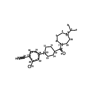 CC(C)N1CCCN(C(=O)C2CCN(c3ccc(C#N)c(Cl)c3)CC2)CC1